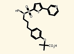 CCCN(CCCc1ccc(OC(C)(C)C(=O)O)cc1)S(=O)(=O)c1ccc(-c2cccnc2)s1